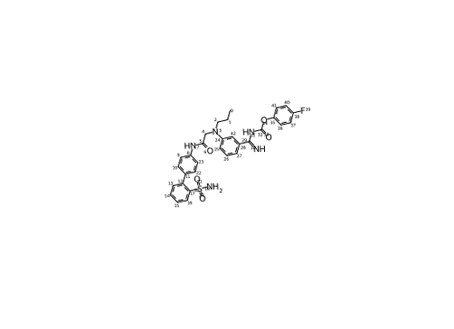 CCCN(CC(=O)Nc1ccc(-c2ccccc2S(N)(=O)=O)cc1)c1cccc(C(=N)NC(=O)Oc2ccc(F)cc2)c1